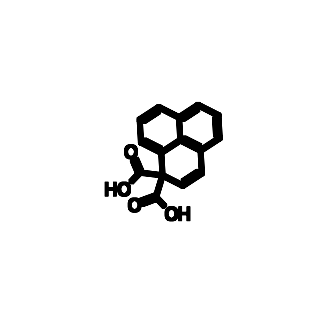 O=C(O)C1(C(=O)O)C=Cc2cccc3cccc1c23